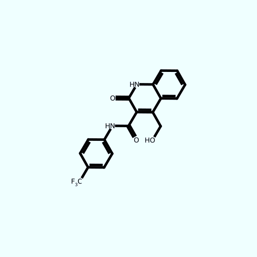 O=C(Nc1ccc(C(F)(F)F)cc1)c1c(CO)c2ccccc2[nH]c1=O